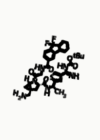 C[C@@H](NC(=O)[C@@H]1C[C@]2(CN)C[C@@H]2N1C(=O)CNC(=O)c1ccc2c(c1)-c1ccccc1C2(F)F)c1cc(C(=N)NC(=O)OC(C)(C)C)cs1